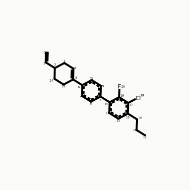 C=CC1CC=C(c2ccc(-c3ccc(CCC)c(Cl)c3F)cc2)CC1